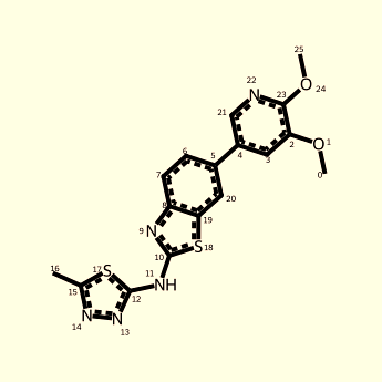 COc1cc(-c2ccc3nc(Nc4nnc(C)s4)sc3c2)cnc1OC